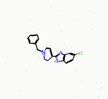 Clc1ccc2[nH]c(C3=CCN(Cc4ccccc4)CC3)nc2c1